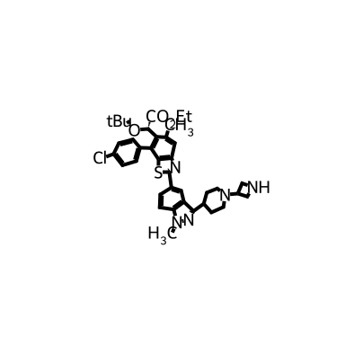 CCOC(=O)[C@@H](OC(C)(C)C)c1c(C)cc2nc(-c3ccc4c(c3)c(C3CCN(C5CNC5)CC3)nn4C)sc2c1-c1ccc(Cl)cc1